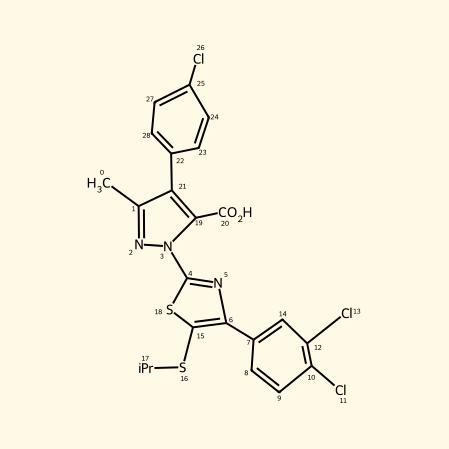 Cc1nn(-c2nc(-c3ccc(Cl)c(Cl)c3)c(SC(C)C)s2)c(C(=O)O)c1-c1ccc(Cl)cc1